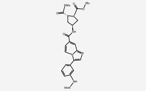 CNNc1cccc(-c2cnc3cc(C(=O)N[C@H]4C[C@H](C(=O)NC)N(C(=O)OC(C)(C)C)C4)ccn23)c1